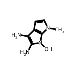 Cn1ccc2c(N)c(N)n(O)c21